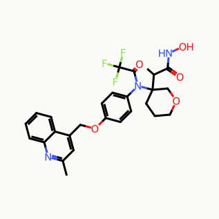 Cc1cc(COc2ccc(N(C(=O)C(F)(F)F)C3(C(C)C(=O)NO)CCCOC3)cc2)c2ccccc2n1